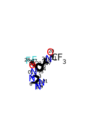 CN(c1cc2c(cn1)ncn2C)c1ccc(C2CN(C(=O)C(F)(F)F)C2)cc1OC(F)F